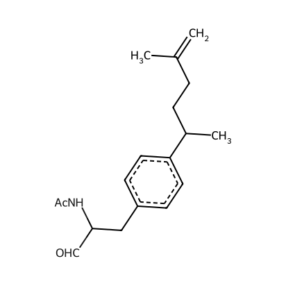 C=C(C)CCC(C)c1ccc(CC(C=O)NC(C)=O)cc1